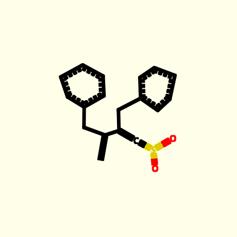 C=C(Cc1ccccc1)C(=C=S(=O)=O)Cc1ccccc1